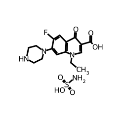 CCn1cc(C(=O)O)c(=O)c2cc(F)c(N3CCNCC3)cc21.NS(=O)(=O)O